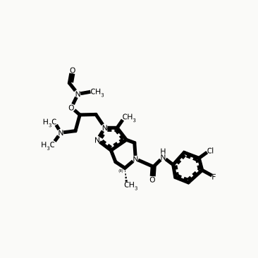 Cc1c2c(nn1CC(CN(C)C)ON(C)C=O)C[C@@H](C)N(C(=O)Nc1ccc(F)c(Cl)c1)C2